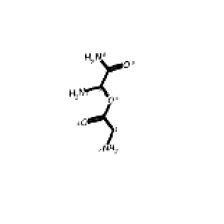 NCC(=O)OC(N)C(N)=O